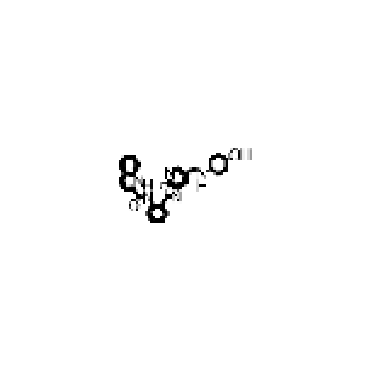 O=C(Nc1ccccc1-c1nc2cc(CN[C@H]3CC[C@H](O)CC3)cnc2s1)c1ccc2ccccc2n1